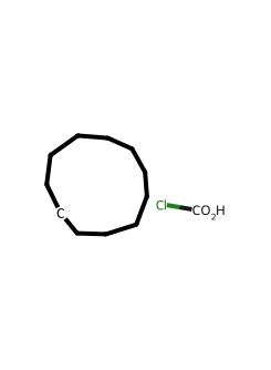 C1CCCCCCCCCC1.O=C(O)Cl